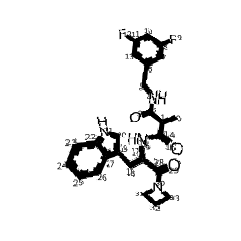 CC(C(=O)NCc1cc(F)cc(F)c1)C(=O)NC(Cc1c[nH]c2ccccc12)C(=O)N1CCC1